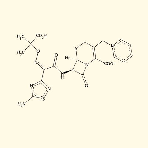 CC(C)(O/N=C(\C(=O)N[C@@H]1C(=O)N2C(C(=O)[O-])=C(C[n+]3ccccc3)CS[C@H]12)c1nsc(N)n1)C(=O)O